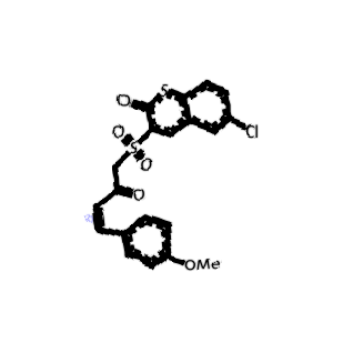 COc1ccc(/C=C\C(=O)CS(=O)(=O)c2cc3cc(Cl)ccc3sc2=O)cc1